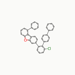 Clc1cccc(-c2ccc3c(c2)oc2cccc(-c4ccccc4)c23)c1-c1ccc(-c2ccccc2)cc1